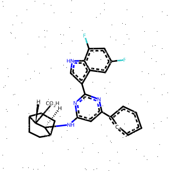 O=C(O)[C@H]1C2CCC(CC2)[C@@H]1Nc1cc(-c2ccccc2)nc(-c2c[nH]c3c(F)cc(F)cc23)n1